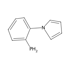 Pc1ccccc1-n1cccc1